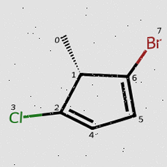 C[C@H]1C(Cl)=CC=C1Br